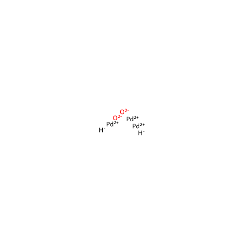 [H-].[H-].[O-2].[O-2].[Pd+2].[Pd+2].[Pd+2]